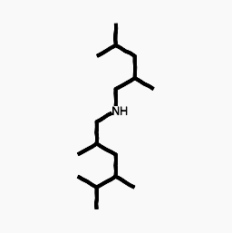 CC(C)CC(C)CNCC(C)CC(C)C(C)C